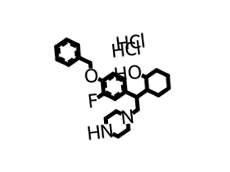 Cl.Cl.OC1CCCCC1C(CN1CCNCC1)c1ccc(OCc2ccccc2)c(F)c1